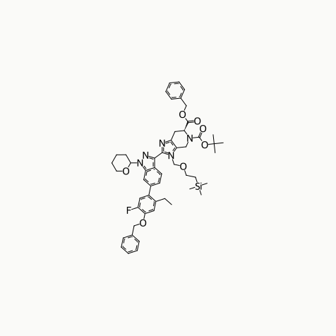 CCc1cc(OCc2ccccc2)c(F)cc1-c1ccc2c(-c3nc4c(n3COCC[Si](C)(C)C)CN(C(=O)OC(C)(C)C)[C@H](C(=O)OCc3ccccc3)C4)nn(C3CCCCO3)c2c1